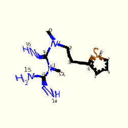 CN(CCc1cccs1)C(=N)N(C)C(=N)N